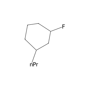 CCCC1CCCC(F)C1